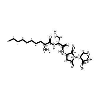 CCCCCCCC[C@H](N)C(=O)N[C@@H](CO)C(=O)N[C@H]1CC(C)N([C@H]2CONC2=O)C1=O